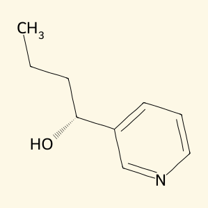 CCC[C@@H](O)c1cccnc1